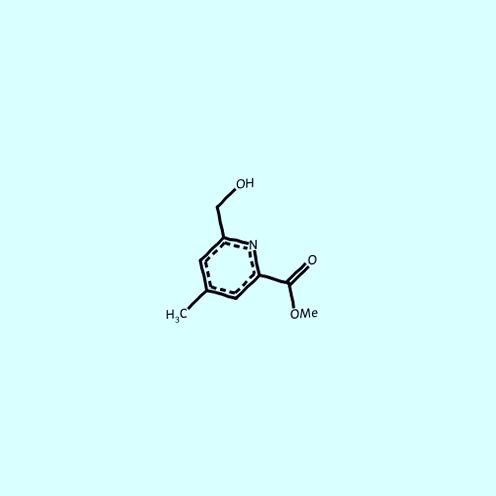 COC(=O)c1cc(C)cc(CO)n1